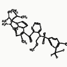 COCN(c1cccnc1C(=O)c1c(C)cnc2c1ccn2[Si](C(C)C)(C(C)C)C(C)C)S(=O)(=O)c1ccc(Cl)c(C(F)(F)F)c1